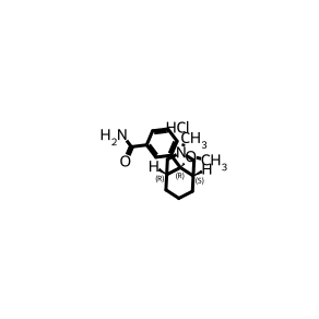 CO[C@@]1(c2cccc(C(N)=O)c2)[C@@H]2CCC[C@H]1CN(C)C2.Cl